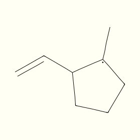 C=CC1CCC[C]1C